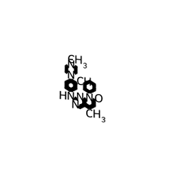 Cc1cc(Nc2ncc3c(C)cc(=O)n(C4CCCCC4)c3n2)ccc1N1CCN(C)CC1